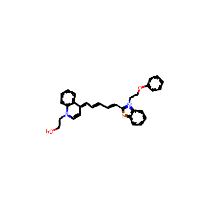 OCCN1C=C\C(=C/C=C/C=C/c2sc3ccccc3[n+]2CCOc2ccccc2)c2ccccc21